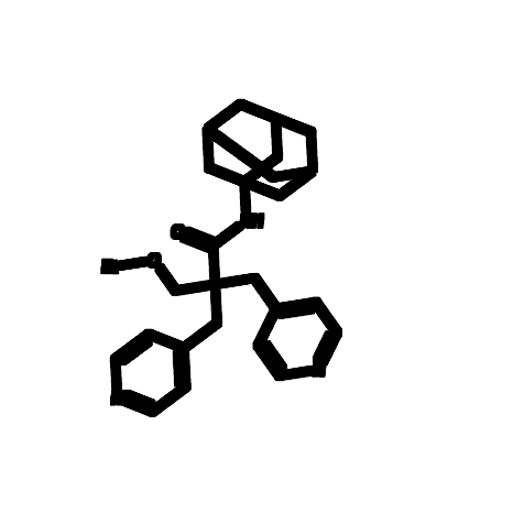 CCOCC(Cc1ccncc1)(Cc1ccncc1)C(=O)NC12CC3CC(CC(C3)C1)C2